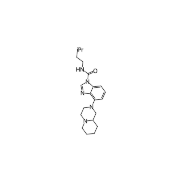 CC(C)CCNC(=O)n1cnc2c(N3CCN4CCCCC4C3)cccc21